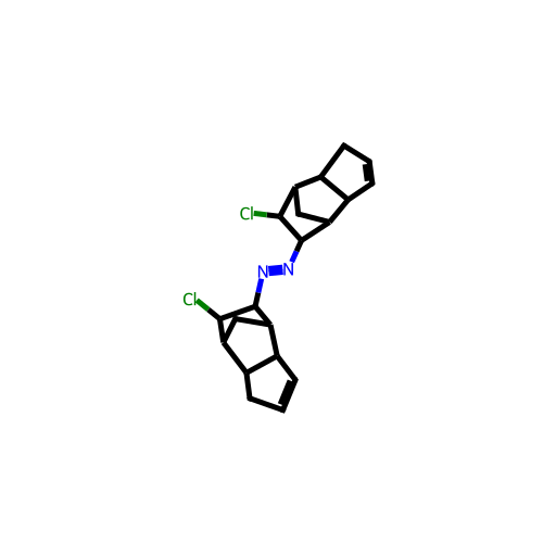 ClC1C2CC(C3C=CCC32)C1N=NC1C(Cl)C2CC1C1C=CCC12